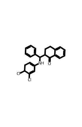 O=C1c2ccccc2CCC1C(NC1=CCC(Cl)C(Cl)=C1)c1ccccc1